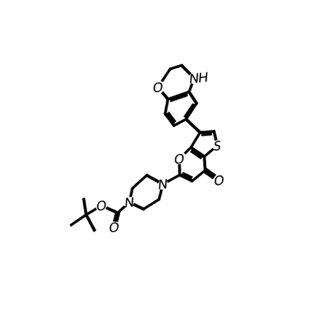 CC(C)(C)OC(=O)N1CCN(c2cc(=O)c3scc(-c4ccc5c(c4)NCCO5)c3o2)CC1